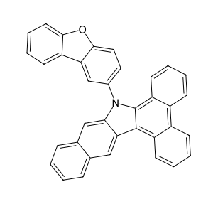 c1ccc2cc3c(cc2c1)c1c2ccccc2c2ccccc2c1n3-c1ccc2oc3ccccc3c2c1